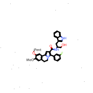 CCCC(C)Oc1cc2c(cc1OC)CCn1c-2cc(C(=O)NC(CO)Cc2c[nH]c3ccccc23)c1-c1cccc(F)c1